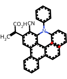 C=C(C(=O)O)c1cc2c3ccccc3c3ccccc3c2c(N(c2ccccc2)c2ccccc2)c1C#N